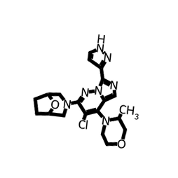 CC1COCCN1c1c(Cl)c(N2CC3CCC(C2)O3)nn2c(-c3cc[nH]n3)ncc12